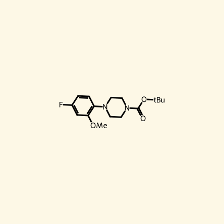 COc1cc(F)ccc1N1CCN(C(=O)OC(C)(C)C)CC1